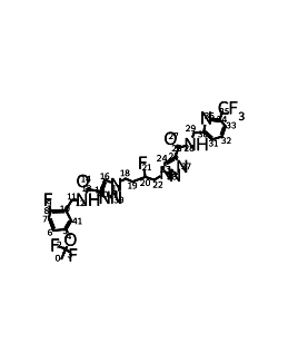 CC(F)(F)Oc1ccc(F)c(CNC(=O)c2cn(CCC(F)Cn3cc(C(=O)NCc4cccc(C(F)(F)F)n4)nn3)nn2)c1